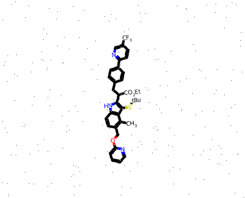 CCOC(=O)C(Cc1ccc(-c2ccc(C(F)(F)F)cn2)cc1)c1[nH]c2ccc(COc3ccccn3)c(C)c2c1SC(C)(C)C